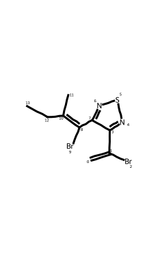 C=C(Br)c1nsnc1/C(Br)=C(\C)CC